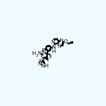 C#CCOc1cnc2c(Nc3ccc(F)c([C@@]4(CF)N=C(N)S[C@@]5(c6c[nH]nn6)CC45)c3)nccc2n1